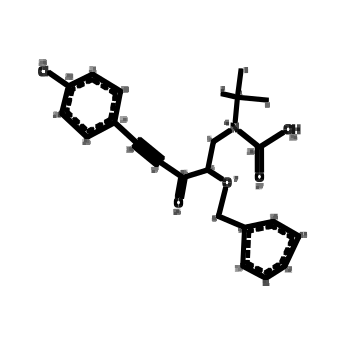 CC(C)(C)N(CC(OCc1ccccc1)C(=O)C#Cc1ccc(Cl)cc1)C(=O)O